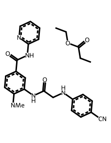 CCOC(=O)CC.CNc1ccc(C(=O)Nc2ccccn2)cc1NC(=O)CNc1ccc(C#N)cc1